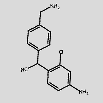 N#CC(c1ccc(CN)cc1)c1ccc(N)cc1Cl